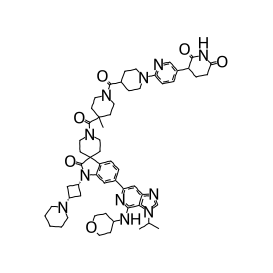 CC(C)n1cnc2cc(-c3ccc4c(c3)N([C@H]3C[C@@H](N5CCCCC5)C3)C(=O)C43CCN(C(=O)C4(C)CCN(C(=O)C5CCN(c6ccc(C7CCC(=O)NC7=O)cn6)CC5)CC4)CC3)nc(NC3CCOCC3)c21